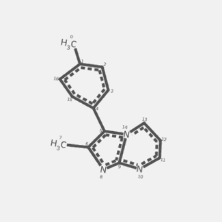 Cc1ccc(-c2c(C)nc3ncccn23)cc1